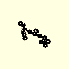 c1ccc(C2(c3ccccc3)c3ccccc3-c3c(-c4ccc(-c5ccc(-c6ccc(-c7cc8c9ccc%10ccccc%10c9sc8c8nc9cc%10ccccc%10cc9n78)cc6)c6ccccc56)cc4)cccc32)cc1